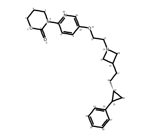 O=C1OCCCN1c1ccc(OCCN2CC(CC[C@@H]3CC3c3ccccc3)C2)cn1